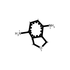 Nc1ccc(N)c2c1COC2